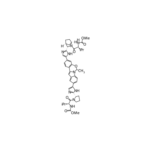 COC(=O)N[C@H](C(=O)N1CCC[C@H]1c1ncc(-c2ccc3c(c2)cc2n3C(C)Oc3cc(-c4cnc([C@@H]5[C@H]6CC[C@H](C6)N5C(=O)[C@@H](NC(=O)OC)C(C)C)[nH]4)ccc3-2)[nH]1)C(C)C